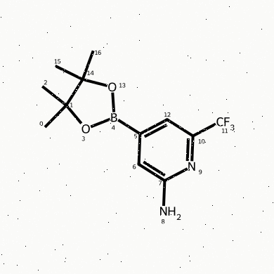 CC1(C)OB(c2cc(N)nc(C(F)(F)F)c2)OC1(C)C